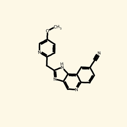 COc1ccc(Cc2nc3cnc4ccc(C#N)cc4c3[nH]2)nc1